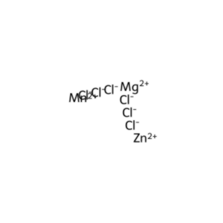 [Cl-].[Cl-].[Cl-].[Cl-].[Cl-].[Cl-].[Mg+2].[Mn+2].[Zn+2]